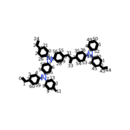 C=Cc1ccc(N(c2ccc(C)cc2)c2ccc(N(c3ccc(C=C)cc3)c3ccc(CC(=C)c4ccc(N(C5=CCC(C=C)C=C5)c5ccccc5)cc4)cc3)cc2)cc1